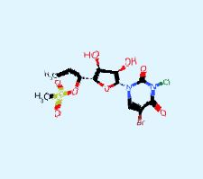 C=CC(OS(C)(=O)=O)[C@H]1O[C@@H](n2cc(Br)c(=O)n(Cl)c2=O)[C@H](O)[C@@H]1O